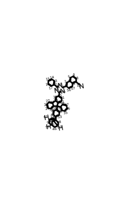 N#Cc1cccc2cc(-c3nc(-c4ccccc4)nc(-c4ccc5c(c4)-c4ccccc4C5(c4ccccc4)c4ccc(C56C[C@H]7C[C@H](C5)C[C@@H](C6)C7)cc4)n3)ccc12